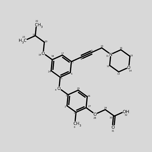 Cc1cc(Oc2cc(C#CCN3CCOCC3)cc(OCC(C)C)c2)ccc1OCC(=O)O